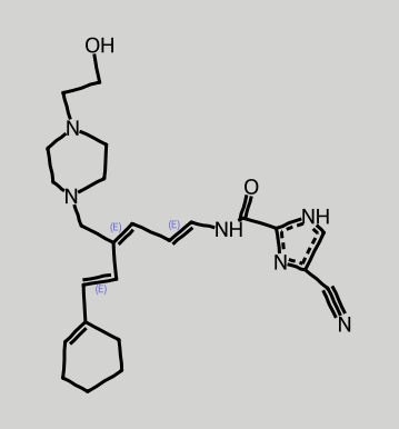 N#Cc1c[nH]c(C(=O)N/C=C/C=C(\C=C\C2=CCCCC2)CN2CCN(CCO)CC2)n1